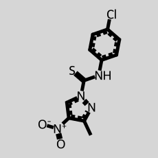 Cc1nn(C(=S)Nc2ccc(Cl)cc2)cc1[N+](=O)[O-]